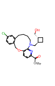 COC(=O)c1ccc2c(n1)N(C[C@@H]1CC[C@H]1CO)CCCCc1cc(Cl)ccc1CO2